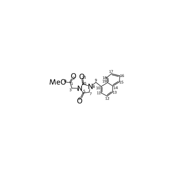 COC(=O)CN1C(=O)CN(Cc2cccc3ccccc23)C1=O